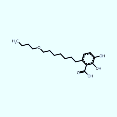 CCCCOCCCCCCCc1ccc(O)c(O)c1C(=O)O